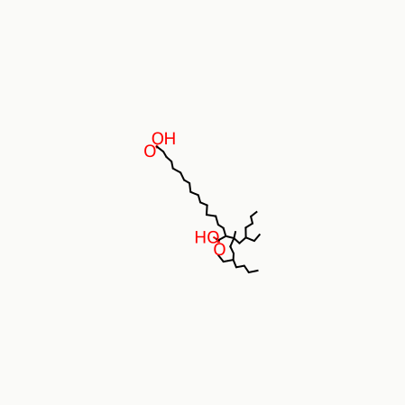 CCCCC(CC)CCC(C)(CC(CC)CCCC)C(CCCCCCCCCCCCCCCC(=O)O)C(=O)O